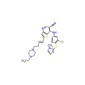 CCN1CCN(CC/C=C/c2cc3ncc(C#N)c(Nc4ccc(Sc5nccn5C)c(Cl)c4)c3s2)CC1